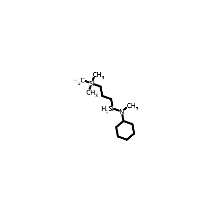 CN([SiH2]CCC[Si](C)(C)C)C1CCCCC1